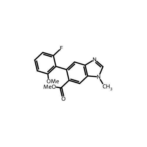 COC(=O)c1cc2c(cc1-c1c(F)cccc1OC)ncn2C